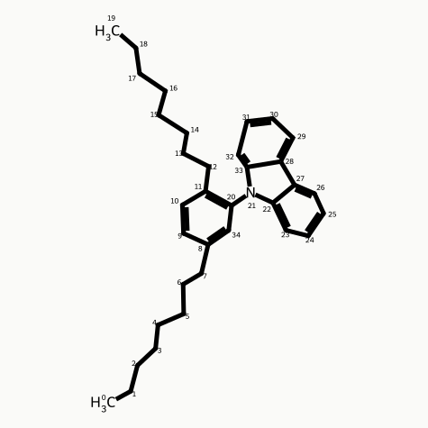 CCCCCCCCc1ccc(CCCCCCCC)c(-n2c3ccccc3c3ccccc32)c1